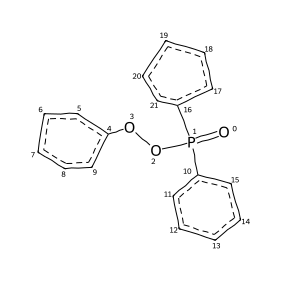 O=P(OOc1ccccc1)(c1ccccc1)c1ccccc1